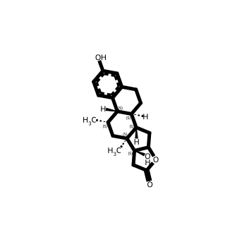 C[C@H]1C[C@@]2(C)[C@@H](CC3OC(=O)C[C@@]32O)[C@@H]2CCc3cc(O)ccc3[C@H]21